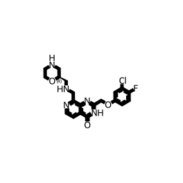 O=c1[nH]c(COc2ccc(F)c(Cl)c2)nc2c(CNC[C@@H]3CNCCO3)nccc12